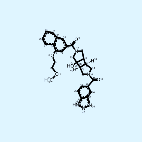 COCCOc1cc(C(=O)N2CC3[C@H]4CN(C(=O)c5ccc6[nH]nnc6c5)C[C@H]4C3(O)C2)cc2ccccc12